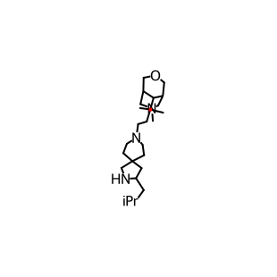 CC(C)CC1CC2(CCN(CCC(C)(C)C3C4COCC3CN(C)C4)CC2)CN1